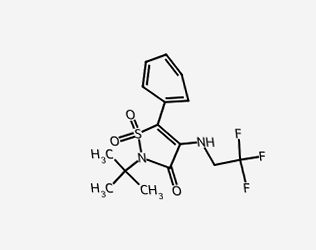 CC(C)(C)N1C(=O)C(NCC(F)(F)F)=C(c2ccccc2)S1(=O)=O